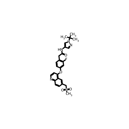 CC(C)(C)n1cc(NC(=O)Cc2ccc(Oc3ccnc4ccc(CS(C)(=O)=O)cc34)cc2F)cn1